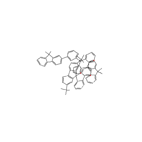 CC(C)(C)c1ccc2c(c1)C1(c3ccccc3-c3ccc(-c4ccccc4N(c4cccc(-c5ccc6c(c5)C(C)(C)c5ccccc5-6)c4)c4ccccc4-c4cccc5c4-c4ccccc4C5(C)C)cc31)c1cc(C(C)(C)C)ccc1-2